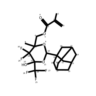 C=C(C)C(=O)OCC1(C)OC(C23CC4CC(CC(C4)C2)C3)OC(O)(C(F)(F)F)C1(F)F